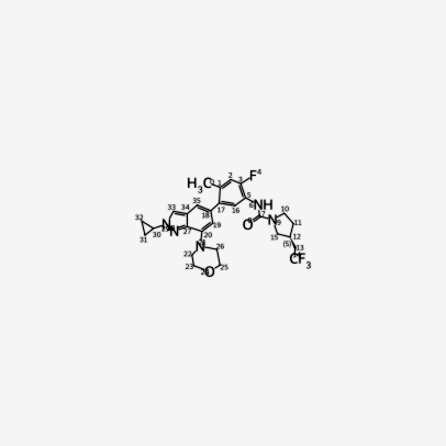 Cc1cc(F)c(NC(=O)N2CC[C@@H](CC(F)(F)F)C2)cc1-c1cc(N2CCOCC2)c2nn(C3CC3)cc2c1